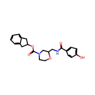 O=C(NCC1CN(C(=O)OC2Cc3ccccc3C2)CCO1)c1ccc(O)cc1